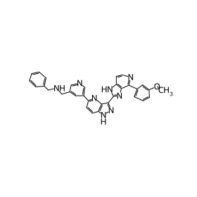 COc1cccc(-c2nccc3[nH]c(-c4n[nH]c5ccc(-c6cncc(CNCc7ccccc7)c6)nc45)nc23)c1